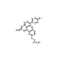 O=C(O)CCc1ccc(Oc2c(-c3ccc(F)cc3)ccc3cc(O)ccc23)cc1